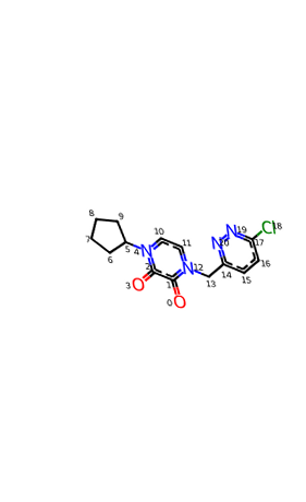 O=c1c(=O)n(C2CCCC2)ccn1Cc1ccc(Cl)nn1